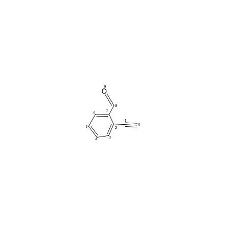 C#Cc1ccccc1C=O